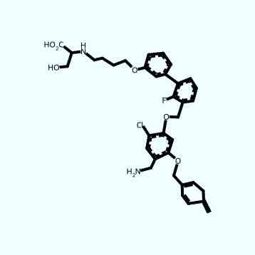 C=C1C=CC(COc2cc(OCc3cccc(-c4cccc(OCCCCNC(CO)C(=O)O)c4)c3F)c(Cl)cc2CN)=CC1